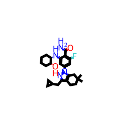 CC1(C)CCc2c(CC3CC3)nn(-c3cc(F)c(C(N)=O)c(N[C@H]4CCCC[C@@H]4O)c3)c2C1